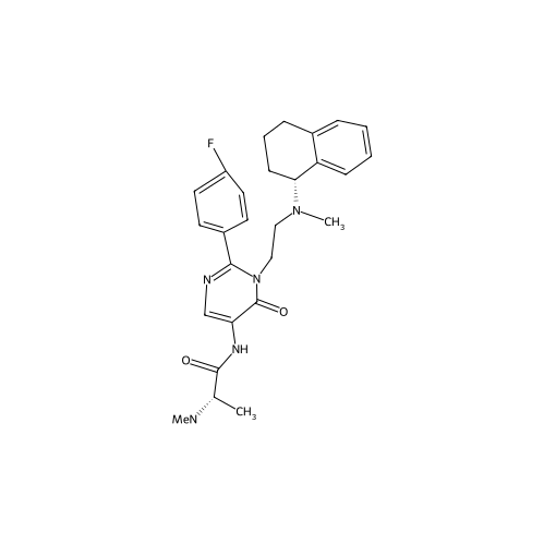 CN[C@@H](C)C(=O)Nc1cnc(-c2ccc(F)cc2)n(CCN(C)[C@@H]2CCCc3ccccc32)c1=O